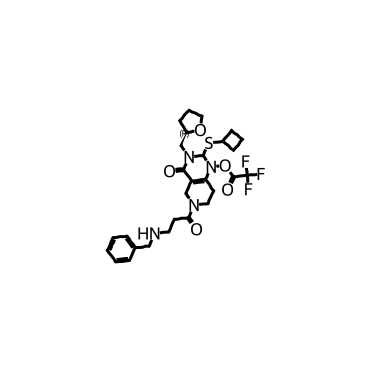 O=C(CCNCc1ccccc1)N1CCC2=C(C1)C(=O)N(C[C@H]1CCCO1)C(SC1CCC1)N2OC(=O)C(F)(F)F